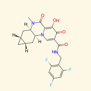 CN1C(=O)c2c(O)c(=O)c(C(=O)NCc3c(F)cc(F)cc3F)cn2[C@H]2C[C@@H]3C[C@@H]3C[C@H]21